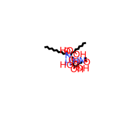 CCCCCCCCCC(=O)N[C@@H](COC1OC(CNC(C)=O)C(O)C(O)C1O)[C@H](O)[C@H](O)CCCCCC